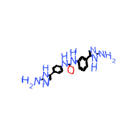 Nc1ncc(-c2ccc(NC(=O)Nc3cccc(-c4cnc(N)[nH]4)c3)cc2)[nH]1